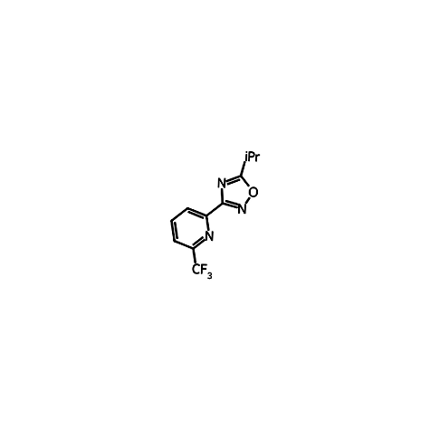 CC(C)c1nc(-c2cccc(C(F)(F)F)n2)no1